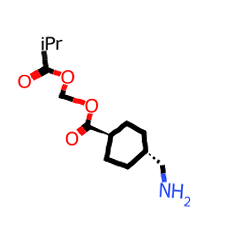 CC(C)C(=O)OCOC(=O)[C@H]1CC[C@H](CN)CC1